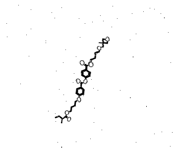 CCC(C)C(=O)OCCCCOc1ccc(C(=O)Oc2ccc(C(=O)OCCCCOCC3(C)COC3)cc2)cc1